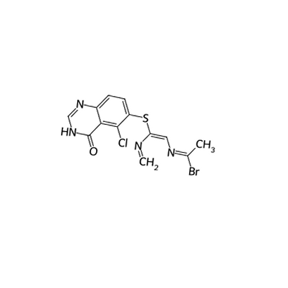 C=N/C(=C\N=C(/C)Br)Sc1ccc2nc[nH]c(=O)c2c1Cl